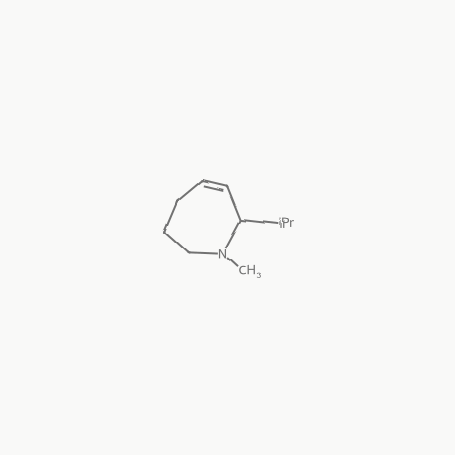 CC(C)C1C=CCCCN1C